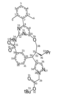 Cc1cccc(C)c1-c1cc2nc(n1)NS(=O)(=O)c1cccc(c1)C(c1cnn(CC(=O)OC(C)(C)C)c1)[C@H](CC(C)C)CO2